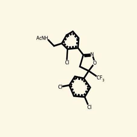 CC(=O)NCc1cccc(C2=NOC(c3cc(Cl)cc(Cl)c3)(C(F)(F)F)C2)c1Cl